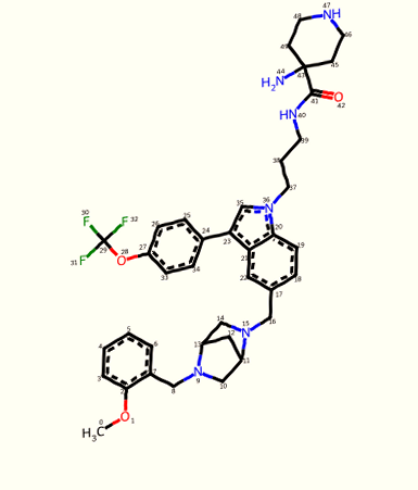 COc1ccccc1CN1CC2CC1CN2Cc1ccc2c(c1)c(-c1ccc(OC(F)(F)F)cc1)cn2CCCNC(=O)C1(N)CCNCC1